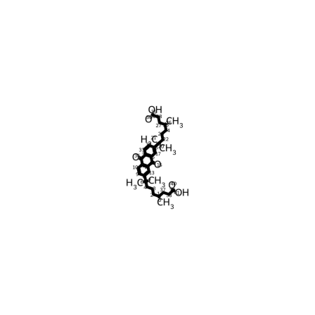 CC(CCCC(C)(C)c1ccc2c(c1)C(=O)c1cc(C(C)(C)CCCC(C)CCC(=O)O)ccc1C2=O)CCC(=O)O